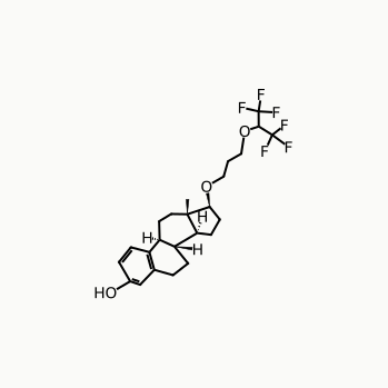 C[C@]12CC[C@@H]3c4ccc(O)cc4CC[C@H]3[C@@H]1CC[C@@H]2OCCCOC(C(F)(F)F)C(F)(F)F